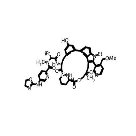 CCn1c(-c2cnccc2COC)c2c3cc(ccc31)-c1cc(O)cc(c1)C[C@H](NC(=O)[C@H](C(C)C)N(C)C(=O)c1ccc(NC3=NCCO3)cn1)C(=O)N1CCC[C@H](N1)C(=O)OCC(C)(C)C2